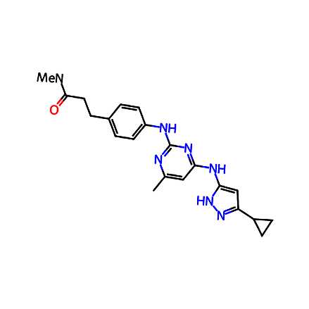 CNC(=O)CCc1ccc(Nc2nc(C)cc(Nc3cc(C4CC4)n[nH]3)n2)cc1